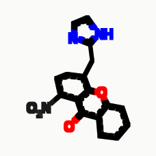 O=c1c2ccccc2oc2c(Cc3ncc[nH]3)ccc([N+](=O)[O-])c12